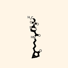 CCS(=O)(=O)c1ncc(C(=O)NCCCCC2C(=O)CC3CC32)s1